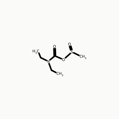 CCN(CC)C(=O)OS(C)=O